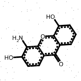 Nc1c(O)ccc2c(=O)c3cccc(O)c3oc12